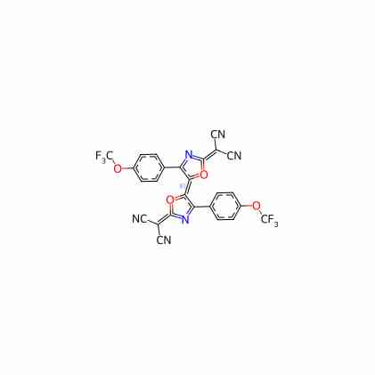 N#CC(C#N)=c1nc(-c2ccc(OC(F)(F)F)cc2)/c(=c2\oc(=C(C#N)C#N)nc2-c2ccc(OC(F)(F)F)cc2)o1